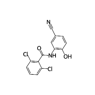 N#Cc1ccc(O)c(NC(=O)c2c(Cl)cccc2Cl)c1